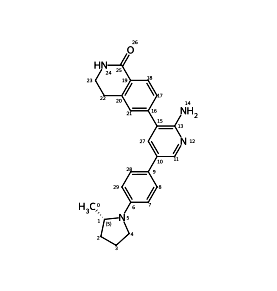 C[C@H]1CCCN1c1ccc(-c2cnc(N)c(-c3ccc4c(c3)CCNC4=O)c2)cc1